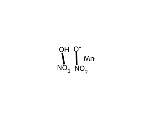 O=[N+]([O-])O.O=[N+]([O-])[O-].[Mn]